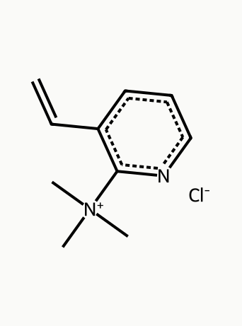 C=Cc1cccnc1[N+](C)(C)C.[Cl-]